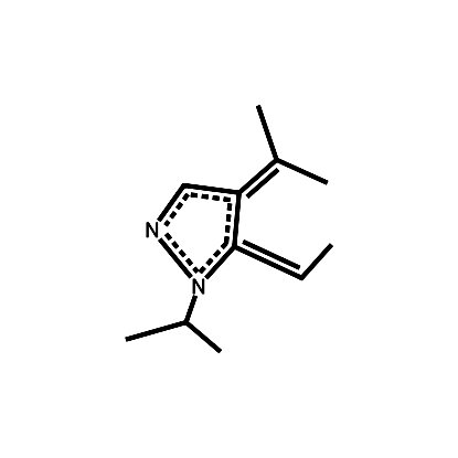 C/C=c1\c(=C(C)C)cnn1C(C)C